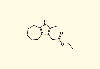 CCOC(=O)Cc1c(C)[nH]c2c1CCCCC2